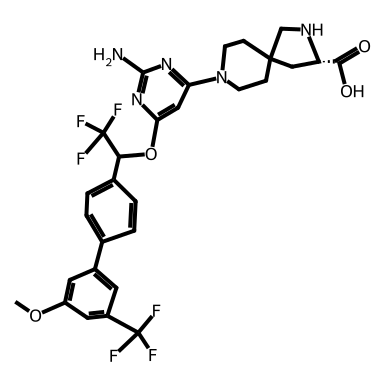 COc1cc(-c2ccc(C(Oc3cc(N4CCC5(CC4)CN[C@H](C(=O)O)C5)nc(N)n3)C(F)(F)F)cc2)cc(C(F)(F)F)c1